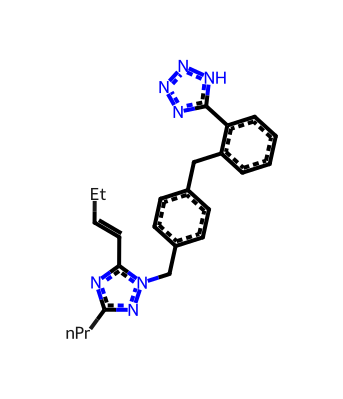 CC/C=C/c1nc(CCC)nn1Cc1ccc(Cc2ccccc2-c2nnn[nH]2)cc1